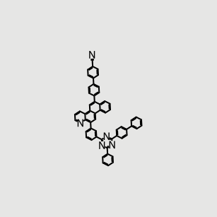 N#Cc1ccc(-c2ccc(-c3cc4c5cccnc5c(-c5cccc(-c6nc(-c7ccccc7)nc(-c7ccc(-c8ccccc8)cc7)n6)c5)cc4c4ccccc34)cc2)cc1